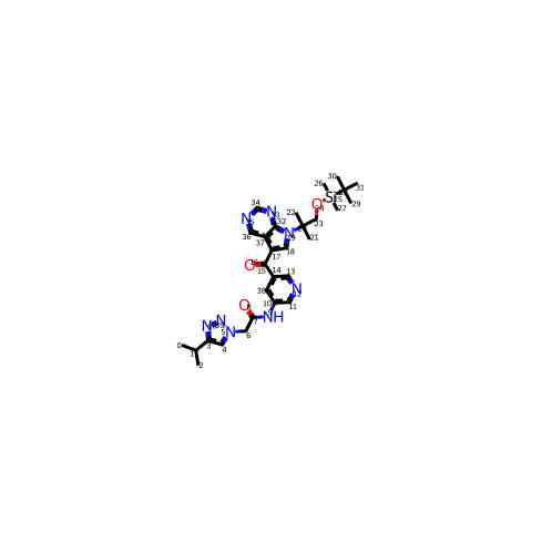 CC(C)c1cn(CC(=O)Nc2cncc(C(=O)c3cn(C(C)(C)CO[Si](C)(C)C(C)(C)C)c4ncncc34)c2)nn1